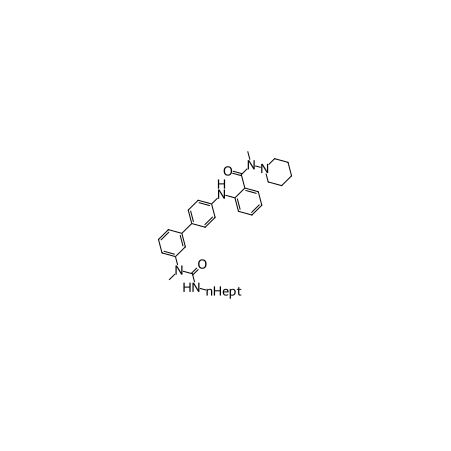 CCCCCCCNC(=O)N(C)c1cccc(-c2ccc(Nc3ccccc3C(=O)N(C)N3CCCCC3)cc2)c1